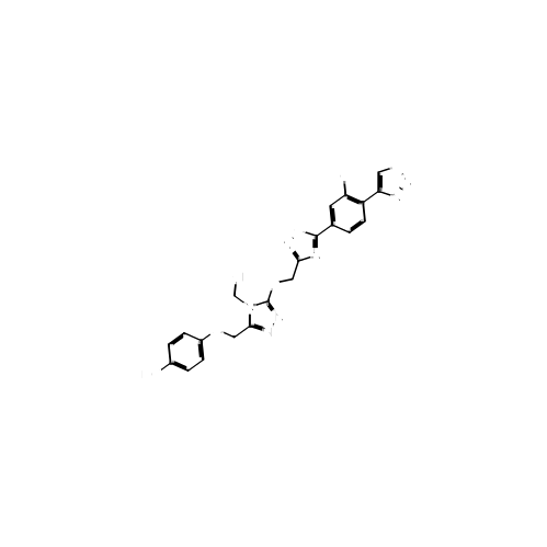 CCn1c(COc2ccc(C)cc2)nnc1SCc1noc(-c2ccc(-c3conn3)c(Cl)c2)n1